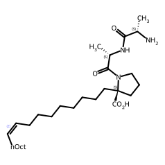 CCCCCCCC/C=C\CCCCCCCC[C@@]1(C(=O)O)CCCN1C(=O)[C@H](C)NC(=O)[C@H](C)N